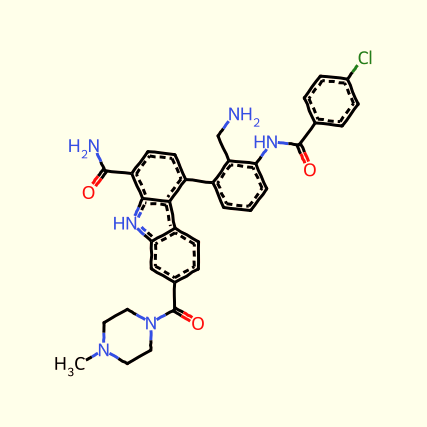 CN1CCN(C(=O)c2ccc3c(c2)[nH]c2c(C(N)=O)ccc(-c4cccc(NC(=O)c5ccc(Cl)cc5)c4CN)c23)CC1